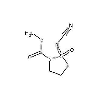 COC(=O)N1CCCS1(=O)=NC#N